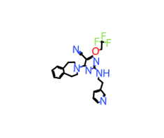 N#Cc1c(OCC(F)(F)F)nc(NCCc2cccnc2)nc1N1CCc2ccccc2CC1